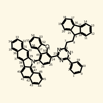 c1ccc(-c2nc(CCC3c4ccccc4-c4ccccc43)nc(-c3ccc(-n4c5cc6ccccc6cc5c5ccc6ccccc6c54)c4c3oc3ccccc34)n2)cc1